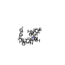 COCCOC[C@H]1CCN(C(=O)c2ccc(N/C=C(\N=N)c3cc4cc(F)ccc4[nH]c3=O)cc2)C1